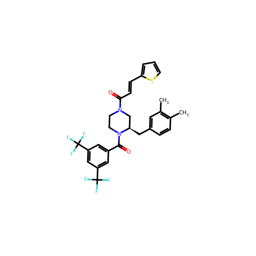 Cc1ccc(C[C@@H]2CN(C(=O)/C=C/c3cccs3)CCN2C(=O)c2cc(C(F)(F)F)cc(C(F)(F)F)c2)cc1C